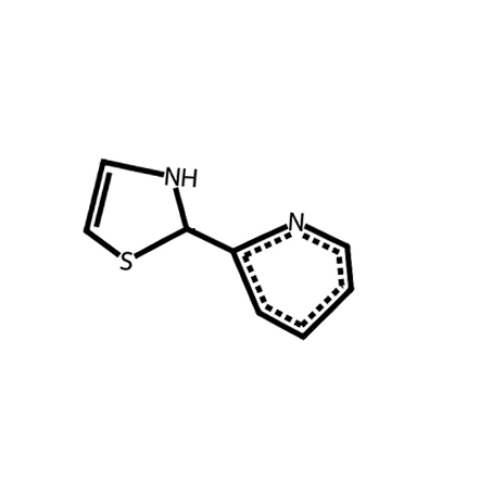 C1=CS[C](c2ccccn2)N1